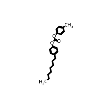 CCCCCCCCc1ccc(OC(=O)Oc2ccc(C)cc2)cc1